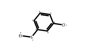 CCSc1cc[c]c(Cl)c1